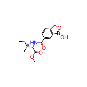 CC[C@H](C)C(NC(=O)c1ccc2c(c1)B(O)OC2)C(=O)OC